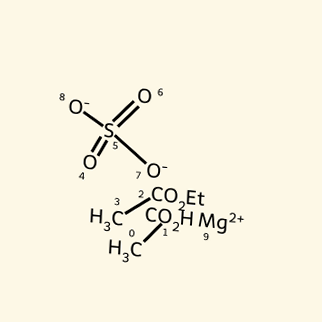 CC(=O)O.CCOC(C)=O.O=S(=O)([O-])[O-].[Mg+2]